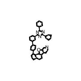 c1ccc(-c2nc(-c3ccccc3)nc(-c3cccc(-c4ccc(-c5cccc6ccc7c8ccncc8oc7c56)cc4)c3)n2)cc1